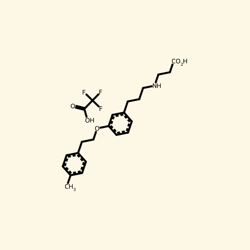 Cc1ccc(CCOc2cccc(CCCNCCC(=O)O)c2)cc1.O=C(O)C(F)(F)F